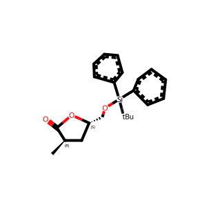 C[C@@H]1C[C@@H](CO[Si](c2ccccc2)(c2ccccc2)C(C)(C)C)OC1=O